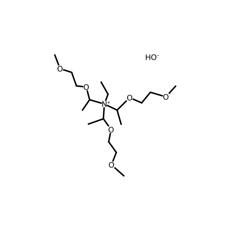 CC[N+](C(C)OCCOC)(C(C)OCCOC)C(C)OCCOC.[OH-]